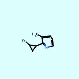 CCC1CC1c1ncccc1C